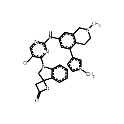 CN1CCc2c(cc(Nc3ncc(Cl)c(N4CC5(CC(=O)O5)c5ccccc54)n3)cc2-c2ccn(C)c2)C1